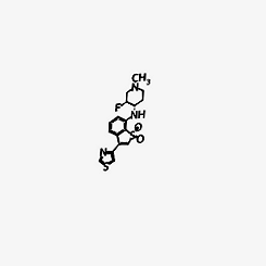 CN1CC[C@H](Nc2cccc3c2S(=O)(=O)C=C3c2cscn2)[C@@H](F)C1